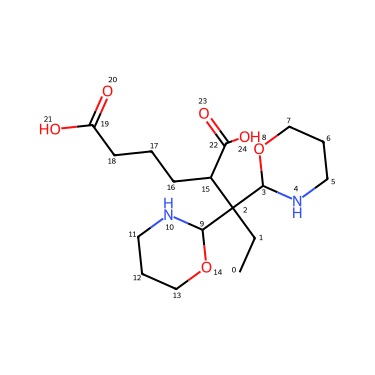 CCC(C1NCCCO1)(C1NCCCO1)C(CCCC(=O)O)C(=O)O